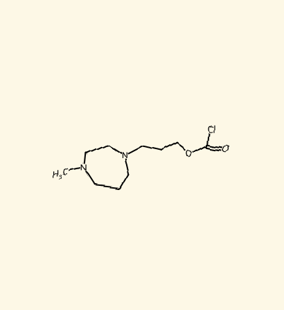 CN1CCCN(CCCOC(=O)Cl)CC1